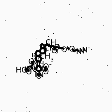 C[C@H](CCC(=O)OCCOCCOCCN=[N+]=[N-])C1CCC2C3CC[C@@H]4C[C@H](NC(=O)[C@H](CC(=O)O)Nc5ccc([N+](=O)[O-])c6nonc56)CC[C@]4(C)C3CC[C@@]21C